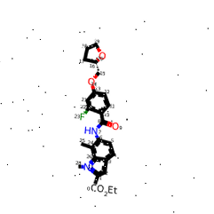 CCOC(=O)c1cc2ccc(NC(=O)c3ccc(OC[C@@H]4CCCO4)cc3F)c(C)c2n1C